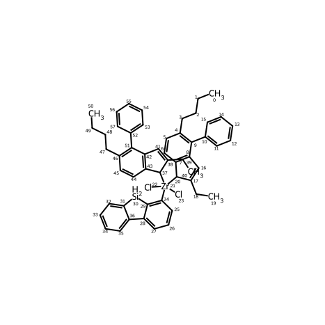 CCCCc1ccc2c(c1-c1ccccc1)C=C(CC)[CH]2[Zr]([Cl])([Cl])([c]1cccc2c1[SiH2]c1ccccc1-2)[CH]1C(CC)=Cc2c1ccc(CCCC)c2-c1ccccc1